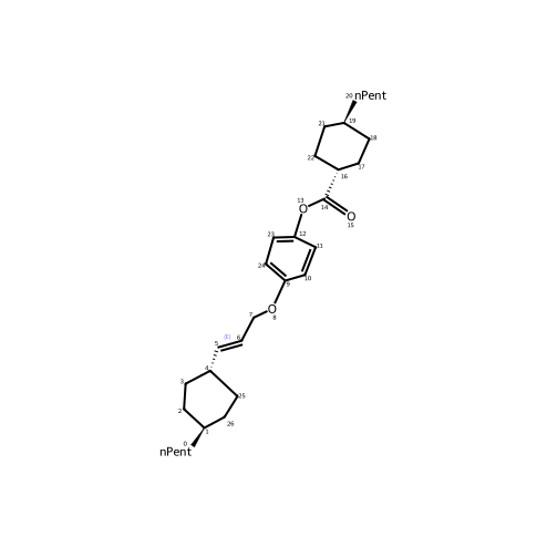 CCCCC[C@H]1CC[C@H](/C=C/COc2ccc(OC(=O)[C@H]3CC[C@H](CCCCC)CC3)cc2)CC1